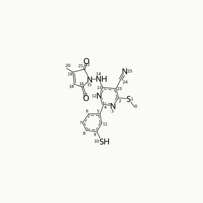 CSc1nc(-c2cccc(S)c2)nc(NN2C(=O)C=C(C)C2=O)c1C#N